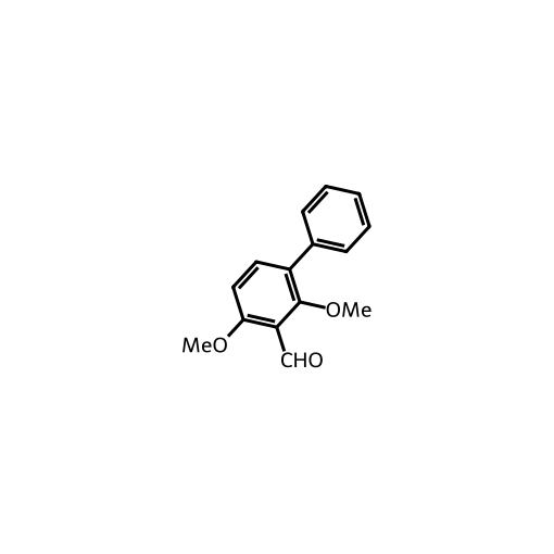 COc1ccc(-c2ccccc2)c(OC)c1C=O